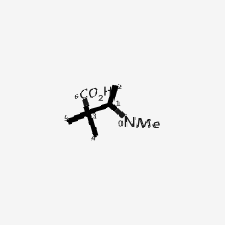 CNC(C)C(C)(C)C(=O)O